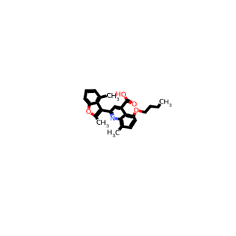 CCCCOc1ccc(C)c2nc(-c3c(C)oc4cccc(C)c34)cc(C(=O)O)c12